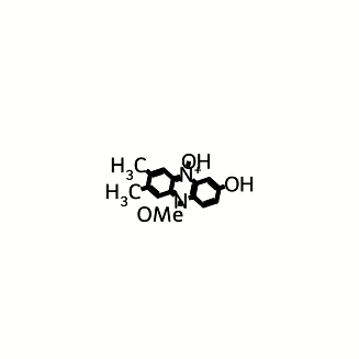 CO[n+]1c2ccc(O)cc2[n+](O)c2cc(C)c(C)cc21